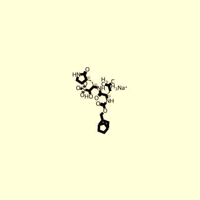 CC(C)C[C@H](NC(=O)OCC1CC2CCC1C2)C(=O)N[C@@H](C[C@@H]1CCNC1=O)C(O)S(=O)(=O)[O-].[Na+]